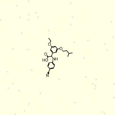 CCOc1cc(OCCC(C)C)cc(C(Nc2ccc(C#N)cc2)C(=O)O)c1